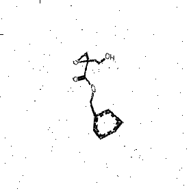 O=C(OCc1ccccc1)C1(CO)CO1